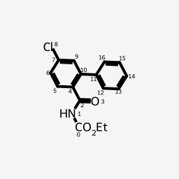 CCOC(=O)NC(=O)c1ccc(Cl)cc1-c1ccccc1